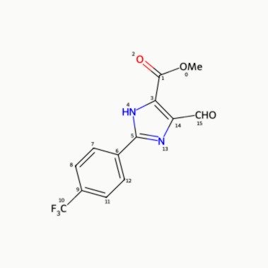 COC(=O)c1[nH]c(-c2ccc(C(F)(F)F)cc2)nc1C=O